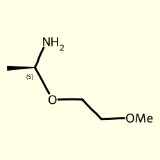 COCCO[C@@H](C)N